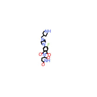 O=C1CCC(N2C(=O)c3cc(F)c(N4CC5CC4CN5CC4CCNCC4)cc3C2=O)C(=O)N1